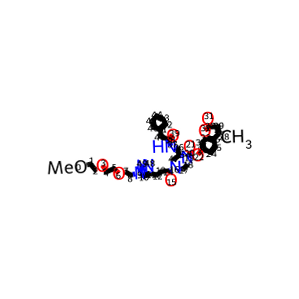 COCCOCCOCCn1cc(CCC(=O)N2CCN(C(=O)Oc3ccc4c(C)cc(=O)oc4c3)C(CNC(=O)Cc3ccccc3)C2)nn1